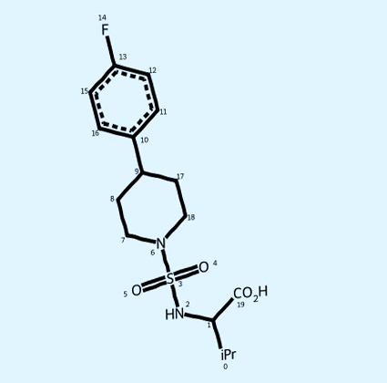 CC(C)C(NS(=O)(=O)N1CCC(c2ccc(F)cc2)CC1)C(=O)O